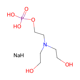 O=P(O)(O)OCCN(CCO)CCO.[NaH]